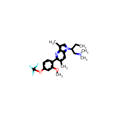 CCC(CN(C)C)n1cc(C)c2nc(-c3ccc(OC(F)(F)F)cc3OC)c(C)cc21